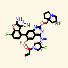 C=CC(=O)N1C[C@H](F)[C@@H](N(C)c2nc(OC[C@@]34CCCN3C[C@H](F)C4)nc3cc(-c4ccc(F)c5sc(N)c(C#N)c45)c(C(F)(F)F)cc23)C1